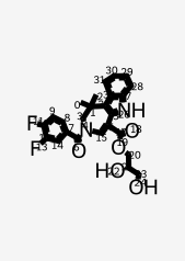 CC1(C)CN(C(=O)c2ccc(F)c(F)c2)C=C(C(=O)OC[C@@H](O)CO)c2[nH]c3ccccc3c21